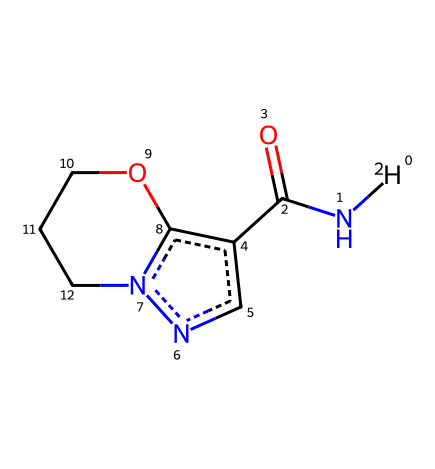 [2H]NC(=O)c1cnn2c1OCCC2